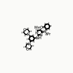 COc1ccccc1N(c1ccnc(Nc2cc(N3CCOCC3)cc(N3CCOCC3)c2)n1)C(C)C